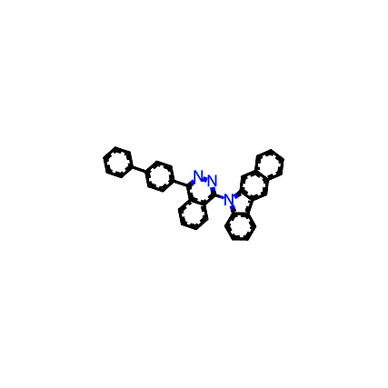 c1ccc(-c2ccc(-c3nnc(-n4c5ccccc5c5cc6ccccc6cc54)c4ccccc34)cc2)cc1